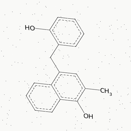 Cc1cc(Cc2ccccc2O)c2ccccc2c1O